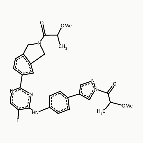 COC(C)C(=O)N1Cc2ccc(-c3ncc(F)c(Nc4ccc(-c5cnn(C(=O)C(C)OC)c5)cc4)n3)cc2C1